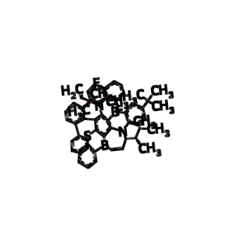 C=CC(C)(C)N(c1c(F)cccc1F)c1c2c3c4c(c1-c1c(-c5ccccc5)cccc1-c1ccccc1)Sc1ccccc1B4C=CC([C@H](C)C(C)C)N3c1ccc(C(C)(C)C)cc1B2C